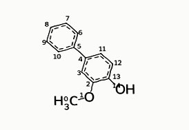 COc1cc(-c2ccccc2)ccc1O